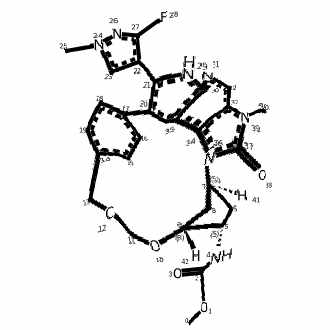 COC(=O)N[C@H]1C[C@H]2C[C@H]1OCCCc1ccc(cc1)-c1c(-c3cn(C)nc3F)[nH]c3ncc4c(c13)n2c(=O)n4C